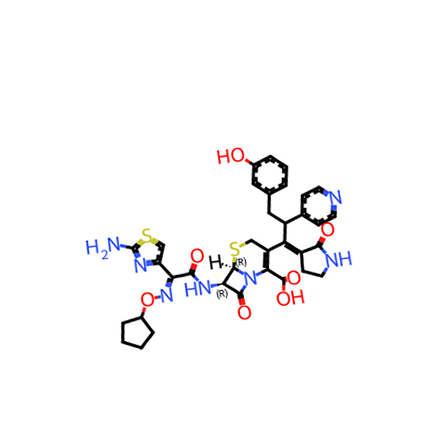 Nc1nc(C(=NOC2CCCC2)C(=O)N[C@@H]2C(=O)N3C(C(=O)O)=C(C(=C4CCNC4=O)C(Cc4cccc(O)c4)c4ccncc4)CS[C@H]23)cs1